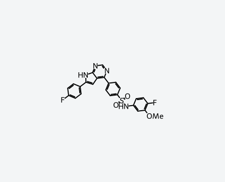 COc1cc(NS(=O)(=O)c2ccc(-c3ncnc4[nH]c(-c5ccc(F)cc5)cc34)cc2)ccc1F